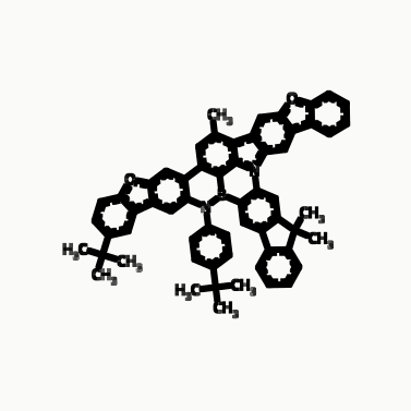 Cc1cc2c3c4c1c1cc5oc6ccccc6c5cc1n4-c1cc4c(cc1B3N(c1ccc(C(C)(C)C)cc1)c1cc3c(cc1-2)oc1ccc(C(C)(C)C)cc13)-c1ccccc1C4(C)C